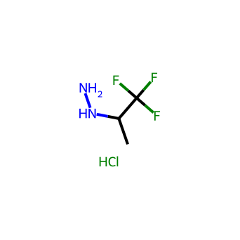 CC(NN)C(F)(F)F.Cl